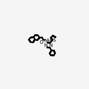 O=C(Cc1ccc2ccccc2c1)Nc1ncc(-c2ccccc2)nc1-c1cccs1